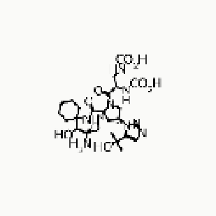 CC(C)(O)c1cnnn1[C@H]1C[C@@H](C(=O)NC2(C(O)C(N)=O)CCCCC2)N(C(=O)C(CNC(=O)O)NC(=O)O)C1